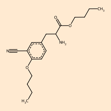 CCCCOC(=O)C(N)Cc1ccc(OCCCC)c(C#N)c1